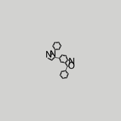 c1ccc(-c2onc3ccc(-c4ccnn4-c4ccccc4)cc23)cc1